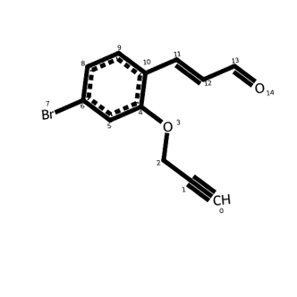 C#CCOc1cc(Br)ccc1C=CC=O